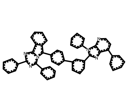 c1ccc(-c2nc(-c3ccccc3)n3c(-c4ccc(-c5cccc(-c6nc7c(-c8ccccc8)ccnc7n6-c6ccccc6)c5)cc4)c4ccccc4c3n2)cc1